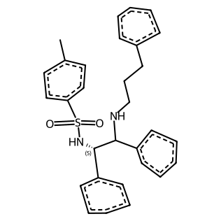 Cc1ccc(S(=O)(=O)N[C@@H](c2ccccc2)C(NCCCc2ccccc2)c2ccccc2)cc1